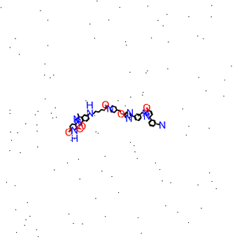 Cc1nn(C2CCC(=O)NC2=O)c(=O)c2ccc(NCCCCCC(=O)N3CCC(COc4cnc(-c5cccc(Cn6nc(-c7cccc(C#N)c7)ccc6=O)c5)nc4)CC3)cc12